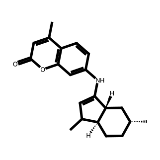 Cc1cc(=O)oc2cc(NC3=CC(C)[C@@H]4CC[C@@H](C)C[C@@H]34)ccc12